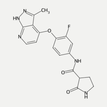 Cc1n[nH]c2nccc(Oc3ccc(NC(=O)C4CCNC4=O)cc3F)c12